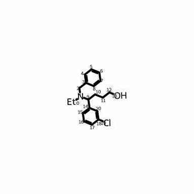 CCN(Cc1ccccc1)C(CCCO)c1cccc(Cl)c1